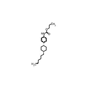 C=CCCCC[C@H]1CC[C@H](c2ccc(NC(=O)OCCC)cc2)CC1